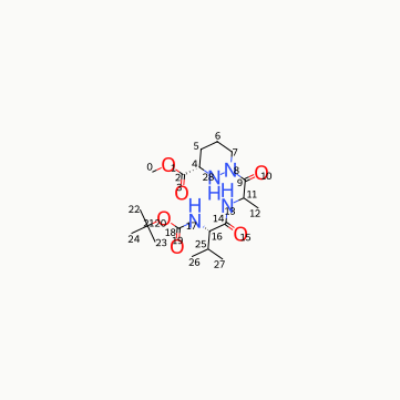 COC(=O)[C@@H]1CCCN(C(=O)C(C)NC(=O)[C@@H](NC(=O)OC(C)(C)C)C(C)C)N1